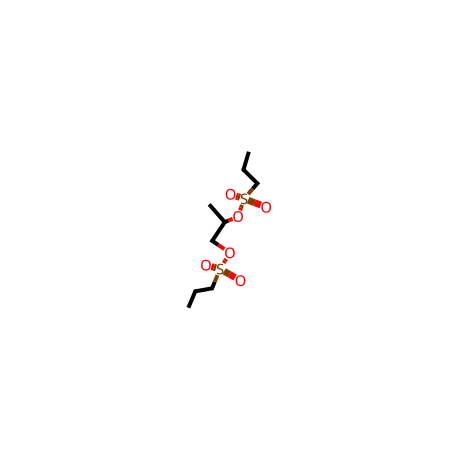 CCCS(=O)(=O)OCC(C)OS(=O)(=O)CCC